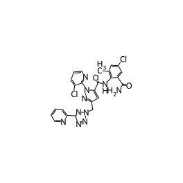 Cc1cc(Cl)cc(C(N)=O)c1NC(=O)c1cc(Cn2nnc(-c3ccccn3)n2)nn1-c1ncccc1Cl